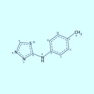 Cc1ccc(Nc2nncs2)cc1